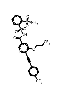 NS(=O)(=O)c1ccccc1S(=O)(=O)NC(=O)c1cnc(C#Cc2ccc(C(F)(F)F)cc2)c(OCCC(F)(F)F)c1